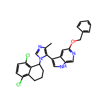 Cc1ncn(C2CCCc3c(Cl)ccc(Cl)c32)c1-c1c[nH]c2cnc(OCc3ccccc3)cc12